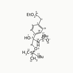 CCOC(=O)Cc1ccc([C@](O)(CO[Si](C)(C)C(C)(C)C)N[S@@+]([O-])C(C)(C)C)cc1